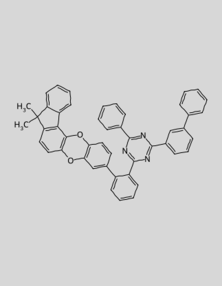 CC1(C)c2ccccc2-c2c1ccc1c2Oc2ccc(-c3ccccc3-c3nc(-c4ccccc4)nc(-c4cccc(-c5ccccc5)c4)n3)cc2O1